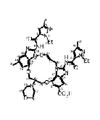 CCn1nc(C)cc1C(=O)Nc1nc2cc(C)cc3c2n1C/C=C/Cn1c(NC(=O)c2cc(C)nn2CC)nc2cc(C(=O)O)cc(c21)OCC(N1CCOCC1)CO3